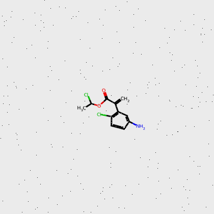 C=C(C(=O)OC(C)Cl)c1cc(N)ccc1Cl